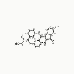 CC(C)(C)OC(=O)N(Cc1ccc2nc3n(c(=O)c2c1)-c1ccc(F)cc1C3=O)c1ccccn1